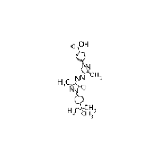 CC1=NN(c2ccc(C(=O)O)cc2)CC1N=NC1C(=O)N(c2ccc(C(C)(C)C)cc2)N=C1C